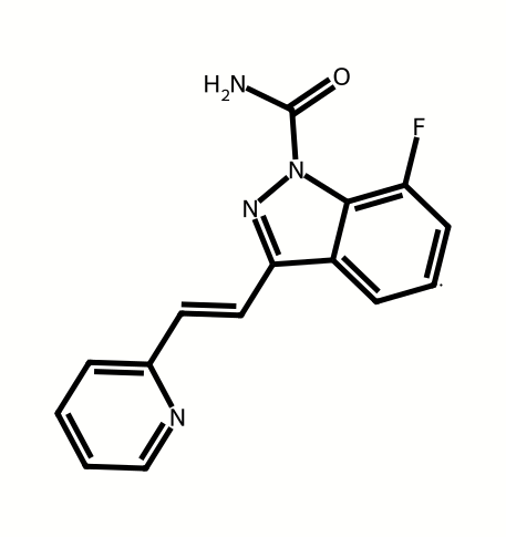 NC(=O)n1nc(C=Cc2ccccn2)c2c[c]cc(F)c21